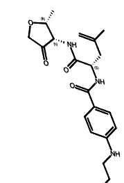 C=C(C)C[C@H](NC(=O)c1ccc(NCCC)cc1)C(=O)N[C@@H]1C(=O)CO[C@@H]1C